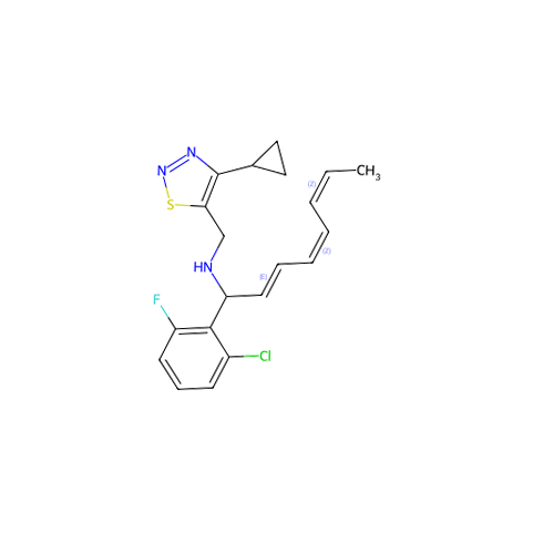 C\C=C/C=C\C=C\C(NCc1snnc1C1CC1)c1c(F)cccc1Cl